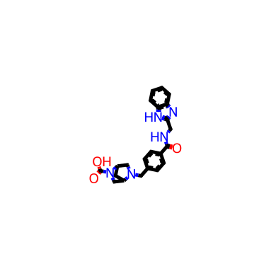 O=C(NCc1nc2ccccc2[nH]1)c1ccc(CN2CC3CC2CN3C(=O)O)cc1